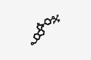 O=Cc1ccc2c(ccc3c2cnn3-c2ccc(OC(F)(F)F)cc2)c1